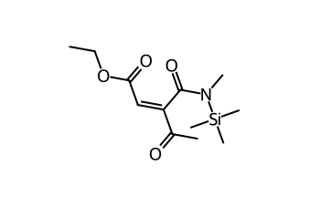 CCOC(=O)C=C(C(C)=O)C(=O)N(C)[Si](C)(C)C